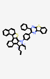 C=C/C=c1\c(=C/C)n(-c2ccc(-c3nc4c(nc3-c3ccccc3)sc3ccccc34)cc2)c2c3sc4ccc5ccccc5c4c3c3ccccc3c12